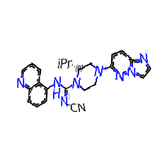 CC(C)[C@@H]1CN(c2ccc3nccn3n2)CCN1/C(=N\C#N)Nc1cccc2ncccc12